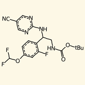 CC(C)(C)OC(=O)NCC(Nc1ncc(C#N)cn1)c1ccc(OC(F)F)cc1F